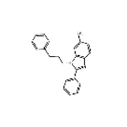 Cc1ccc2nc(-c3ccccc3)n(CCCc3ccccc3)c2c1